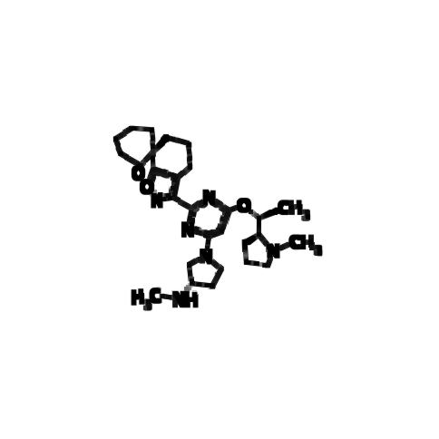 CN[C@H]1CCN(c2cc(O[C@@H](C)[C@@H]3CCCN3C)nc(-c3noc4c3CCC[C@@]43CCCCC3=O)n2)C1